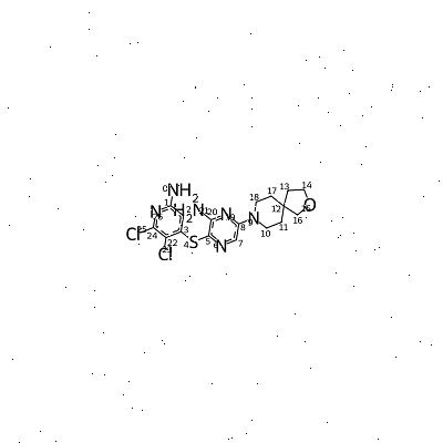 Nc1cc(Sc2ncc(N3CCC4(CCOC4)CC3)nc2N)c(Cl)c(Cl)n1